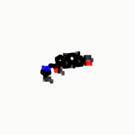 C[C@@]1(O)CC[C@@]2(C)[C@@H](CC[C@@H]3[C@@H]2CC[C@]2(C)[C@@H](C(=O)Cn4cc([N+](=O)[O-])cn4)CC[C@@H]32)C1